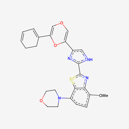 COc1ccc(N2CCOCC2)c2sc(-c3nc(C4=COC=C(C5=CC=CCC5)O4)c[nH]3)nc12